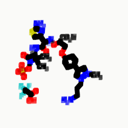 C[n+]1cc(-c2ccc(OCC(O/N=C(\C(=O)N[C@@H]3C(=O)N(OS(=O)(=O)[O-])C3(C)C)c3csc(N)n3)C(=O)O)cc2)cn1CCCN.O=C(O)C(F)(F)F